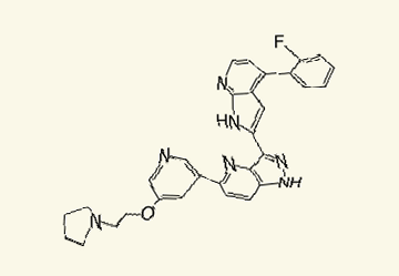 Fc1ccccc1-c1ccnc2[nH]c(-c3n[nH]c4ccc(-c5cncc(OCCN6CCCC6)c5)nc34)cc12